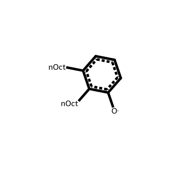 CCCCCCCCc1cccc([O])c1CCCCCCCC